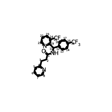 O=C(CCc1ccccn1)NC(c1ccc(C(F)(F)F)cc1)c1ncccc1C(F)(F)F